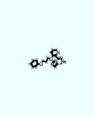 CN(C)N=C(c1ncccc1OCCCOc1ccccc1)n1ccnc1